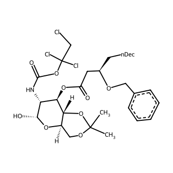 CCCCCCCCCCC[C@H](CC(=O)O[C@@H]1[C@@H](NC(=O)OC(Cl)(Cl)CCl)[C@@H](O)O[C@@H]2COC(C)(C)O[C@@H]12)OCc1ccccc1